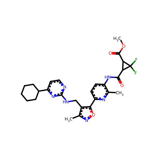 COC(=O)C1C(C(=O)Nc2ccc(-c3onc(C)c3CNc3nccc(C4CCCCC4)n3)nc2C)C1(F)F